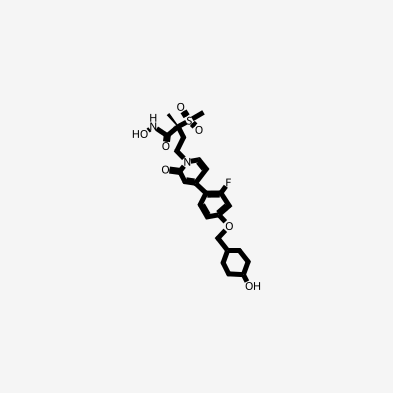 C[C@@](CCn1ccc(-c2ccc(OCC3CCC(O)CC3)cc2F)cc1=O)(C(=O)NO)S(C)(=O)=O